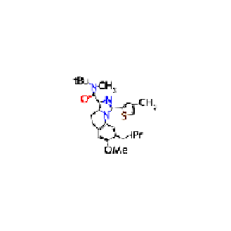 COc1cc2c(cc1CC(C)C)-n1c(-c3cc(C)cs3)nc(C(=O)N(C)C(C)(C)C)c1CC2